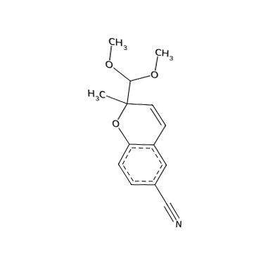 COC(OC)C1(C)C=Cc2cc(C#N)ccc2O1